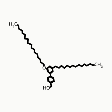 CCCCCCCCCCCCCCCCCCOc1cc(CCCCCCCCCCCCCCC)cc(-c2ccc(CO)cc2)c1